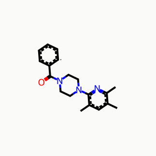 Cc1cc(C)c(N2CCN(C(=O)c3[c]cccc3)CC2)nc1C